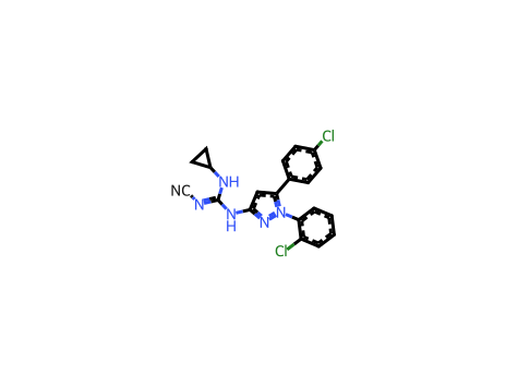 N#CN=C(Nc1cc(-c2ccc(Cl)cc2)n(-c2ccccc2Cl)n1)NC1CC1